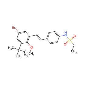 CCS(=O)(=O)Nc1ccc(/C=C/c2cc(Br)cc(C(C)(C)C)c2OC)cc1